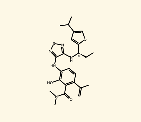 C=C(C)c1ccc(Nc2nsnc2N[C@H](CC)c2cc(C(C)C)co2)c(O)c1C(=O)N(C)C